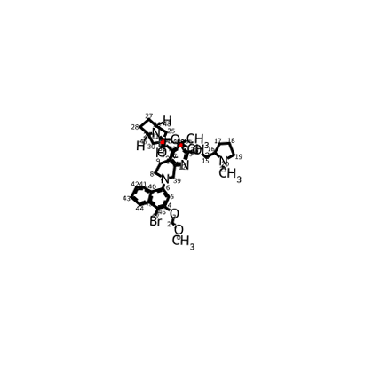 COCOc1cc(N2CCc3c(nc(OCC4CCCN4C)nc3N3C[C@H]4CC[C@@H](C3)N4C(=O)OC(C)(C)C)C2)c2ccccc2c1Br